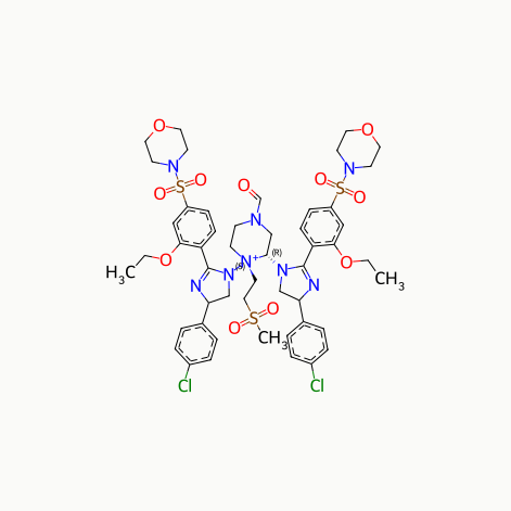 CCOc1cc(S(=O)(=O)N2CCOCC2)ccc1C1=NC(c2ccc(Cl)cc2)CN1[C@H]1CN(C=O)CC[N@@+]1(CCS(C)(=O)=O)N1CC(c2ccc(Cl)cc2)N=C1c1ccc(S(=O)(=O)N2CCOCC2)cc1OCC